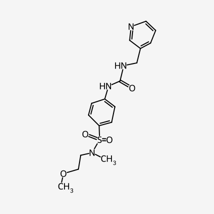 COCCN(C)S(=O)(=O)c1ccc(NC(=O)NCc2cccnc2)cc1